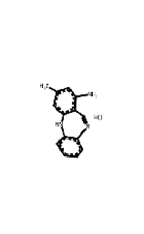 Cc1cc(N)c2c(c1)Nc1ccccc1N=C2.Cl